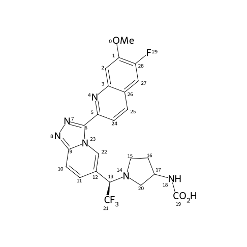 COc1cc2nc(-c3nnc4ccc([C@@H](N5CCC(NC(=O)O)C5)C(F)(F)F)cn34)ccc2cc1F